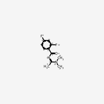 CC(=NC(=O)c1ccc(F)cc1F)N(C)C